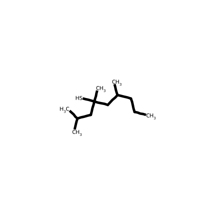 CCCC(C)CC(C)(S)CC(C)C